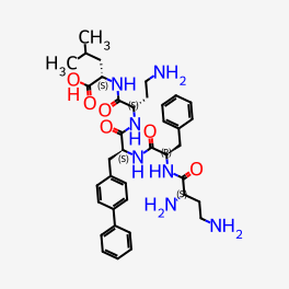 CC(C)C[C@H](NC(=O)[C@H](CCN)NC(=O)[C@H](Cc1ccc(-c2ccccc2)cc1)NC(=O)[C@@H](Cc1ccccc1)NC(=O)[C@@H](N)CCN)C(=O)O